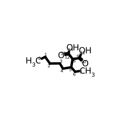 CCCCCC(CC)C(C(=O)O)C(=O)O